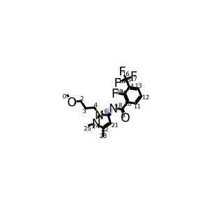 COCCCn1/c(=N/C(=O)c2cccc(C(F)(F)F)c2F)cc(C)n1C